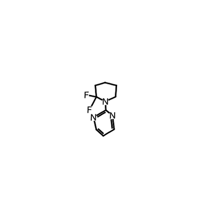 FC1(F)CCCCN1c1ncccn1